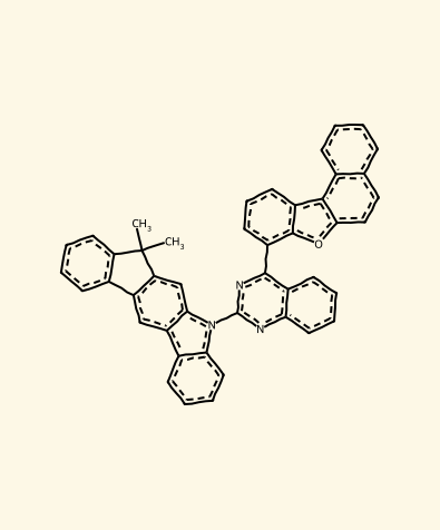 CC1(C)c2ccccc2-c2cc3c4ccccc4n(-c4nc(-c5cccc6c5oc5ccc7ccccc7c56)c5ccccc5n4)c3cc21